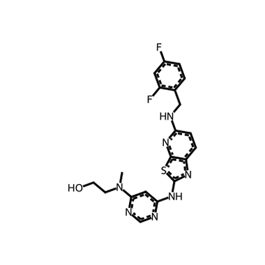 CN(CCO)c1cc(Nc2nc3ccc(NCc4ccc(F)cc4F)nc3s2)ncn1